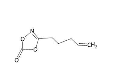 C=CCCCc1noc(=O)o1